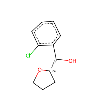 OC(c1ccccc1Cl)[C@@H]1CCCO1